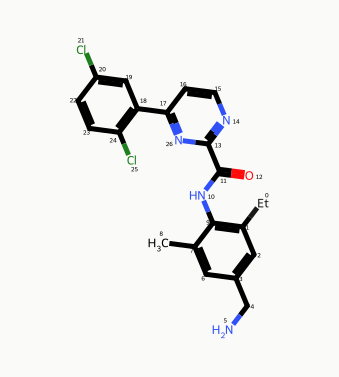 CCc1cc(CN)cc(C)c1NC(=O)c1nccc(-c2cc(Cl)ccc2Cl)n1